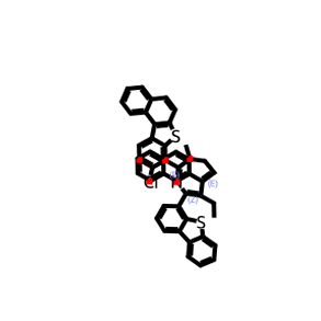 CCC1=C(c2cccc3c2sc2ccccc23)/N=C(/c2c(Cl)ccc3c2sc2ccc4ccccc4c23)C(C)C\C=C\1c1ccc2ccccc2c1